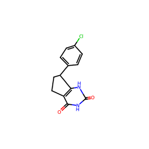 O=c1[nH]c2c(c(=O)[nH]1)CCC2c1ccc(Cl)cc1